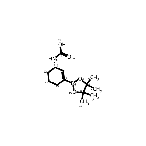 CC1(C)OB(C2=C[C@@H](NC(=O)O)CCC2)OC1(C)C